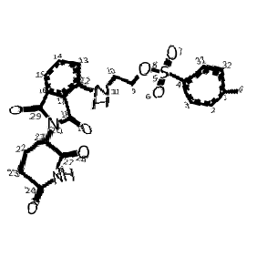 Cc1ccc(S(=O)(=O)OCCNc2cccc3c2C(=O)N(C2CCC(=O)NC2=O)C3=O)cc1